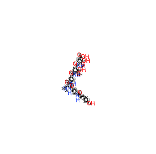 COc1c(NC(=O)c2ccc(NC(=O)c3ccc(NC(=O)[C@H](CN(C)C)NC(=O)c4ccc(NC(=O)/C(C)=C/c5ccc(O)cc5)cc4)cc3)c(OC)c2O)ccc(C(=O)O)c1O